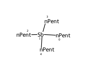 CCCC[CH2][Sb]([CH2]CCCC)([CH2]CCCC)[CH2]CCCC